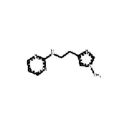 Cn1cnc(CCNc2n[c]ccn2)c1